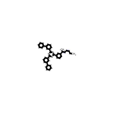 C=C/C=C\C=C(/C)c1cccc(-c2nc(-c3cccc(-c4ccccc4)c3)nc(-c3cccc(-c4ccccc4)c3)n2)c1